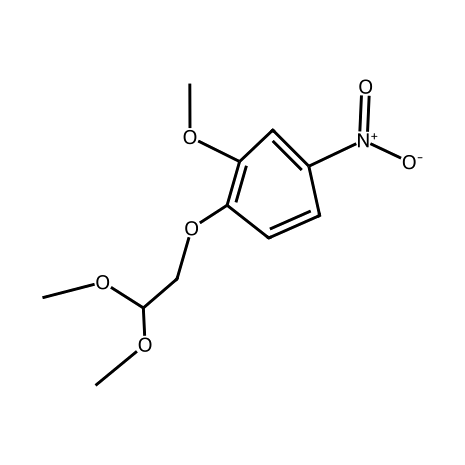 COc1cc([N+](=O)[O-])ccc1OCC(OC)OC